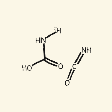 N=C=O.[2H]NC(=O)O